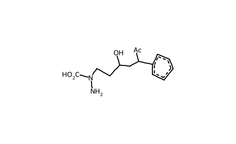 CC(=O)C(CC(O)CCN(N)C(=O)O)c1ccccc1